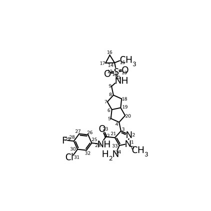 Cn1nc(C2CC3CC(CNS(=O)(=O)C4(C)CC4)CC3C2)c(C(=O)Nc2ccc(F)c(Cl)c2)c1N